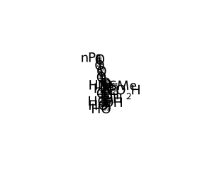 CCCOCCOCCOCCOCCC(=O)N[C@H](CCC(=O)NC[C@H](O)[C@@H](O)[C@H](O)[C@H](O)CO)C(=O)N[C@H](CSC)C(=O)O